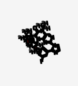 [2H]C([2H])([2H])N1C(=O)[C@H](C([2H])([2H])C([2H])([2H])[2H])N(C([2H])(C([2H])([2H])[2H])C([2H])([2H])[2H])c2nc(-n3ccnc3-c3cc(F)cc(F)c3)ncc21